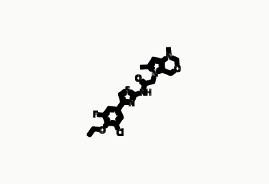 CCOc1c(F)cc(-c2csc(NC(=O)Cn3c(C)cc4c3COCN4C)n2)cc1Cl